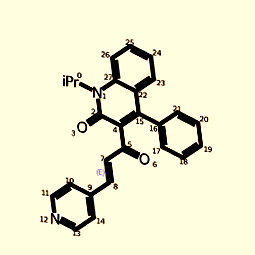 CC(C)n1c(=O)c(C(=O)/C=C/c2ccncc2)c(-c2ccccc2)c2ccccc21